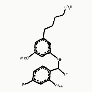 CCC(Nc1cc(CCCCC(=O)O)cc(OC)c1)c1ccc(F)cc1OC